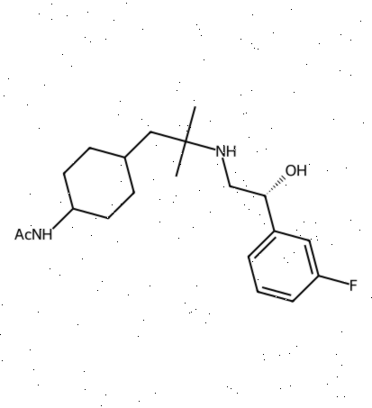 CC(=O)NC1CCC(CC(C)(C)NC[C@H](O)c2cccc(F)c2)CC1